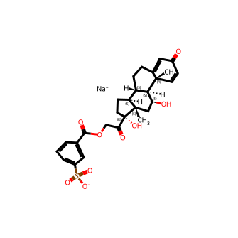 C[C@]12C=CC(=O)C=C1CC[C@@H]1[C@@H]2[C@@H](O)C[C@@]2(C)[C@H]1CC[C@]2(O)C(=O)COC(=O)c1cccc(S(=O)(=O)[O-])c1.[Na+]